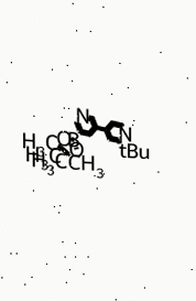 CC(C)(C)c1cc(-c2cncc(B3OC(C)(C)C(C)(C)O3)c2)ccn1